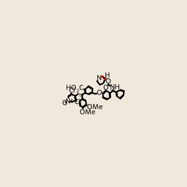 COc1ccc([C@H](Cc2c(Cl)c[n+]([O-])cc2Cl)c2cc(COc3cccc([C@@H](NC(=O)O[C@H]4CN5CCC4CC5)c4ccccc4)c3)ccc2C(=O)O)cc1OC